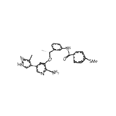 CSc1ccc(C(=O)Nc2cccc([C@@H](C)Oc3cc(-c4c[nH]nc4C)cnc3N)c2)cc1